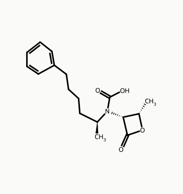 C[C@@H]1OC(=O)[C@@H]1N(C(=O)O)[C@@H](C)CCCCc1ccccc1